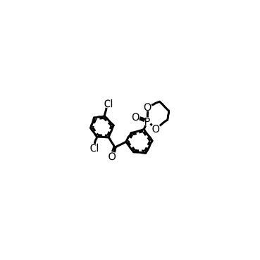 O=C(c1cccc(P2(=O)OCCCO2)c1)c1cc(Cl)ccc1Cl